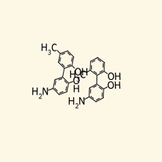 Cc1ccc(O)c(-c2cc(N)ccc2O)c1.Cc1cccc(O)c1-c1cc(N)ccc1O